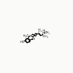 C=C(c1cc(O)ccc1C#N)N1CC2(CC(/C(C)=C/C(C)NC)C2)C1